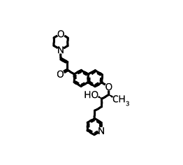 C[C@H](Oc1ccc2cc(C(=O)C=CN3CCOCC3)ccc2c1)[C@H](O)CCc1cccnc1